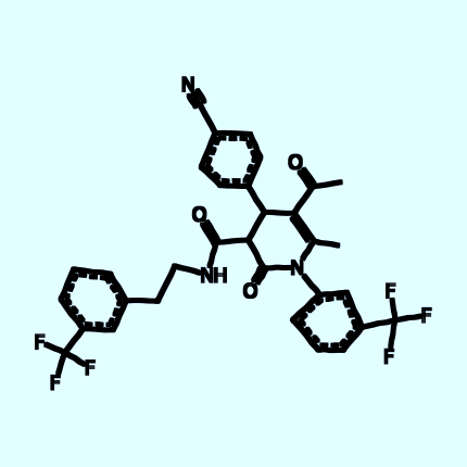 CC(=O)C1=C(C)N(c2cccc(C(F)(F)F)c2)C(=O)C(C(=O)NCCc2cccc(C(F)(F)F)c2)C1c1ccc(C#N)cc1